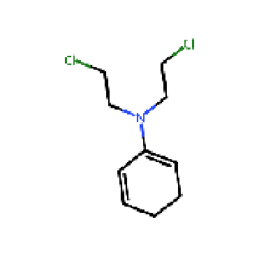 ClCCN(CCCl)C1=CC[CH]C=C1